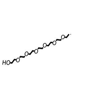 [CH2]COCCOCCOCCOCCOCCOCCO